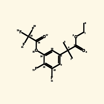 CCOC(=O)C(C)(C)c1cc(F)c(F)c(OC(=O)C(F)(F)F)c1